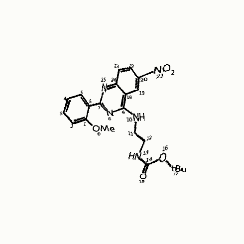 COc1ccccc1-c1nc(NCCNC(=O)OC(C)(C)C)c2cc([N+](=O)[O-])ccc2n1